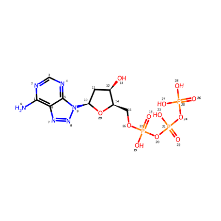 Nc1ncnc2c1nnn2[C@H]1C[C@@H](O)[C@@H](COP(=O)(O)OP(=O)(O)OP(=O)(O)O)O1